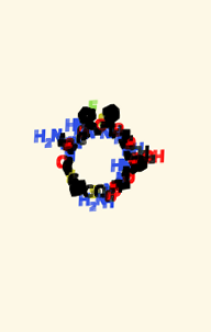 C[C@@H]1NC(=O)[C@@H]2CCCN2C(=O)[C@H](Cc2csc3ccccc23)NC(=O)[C@H](Cc2c[nH]c3ccc(F)cc23)NC(=O)CNC(=O)[C@H](CCCCN)NC(=O)CCSCc2cccc(c2)CSC[C@@H](C(N)=O)NC(=O)[C@@H]2CCCN2C(=O)[C@H](Cc2ccc(O)cc2)NC1=O